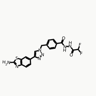 Nc1nc2ccc(-c3cn(Cc4ccc(C(=O)NNC(=O)C(F)F)cc4)nn3)cc2s1